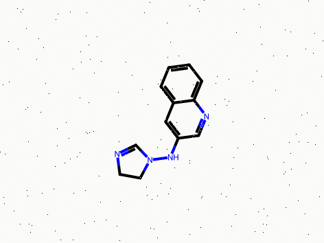 C1=NCCN1Nc1cnc2ccccc2c1